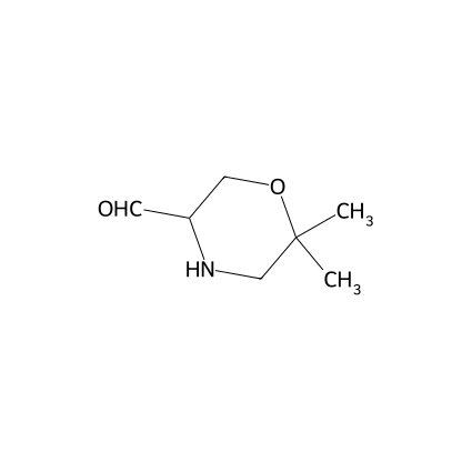 CC1(C)CNC(C=O)CO1